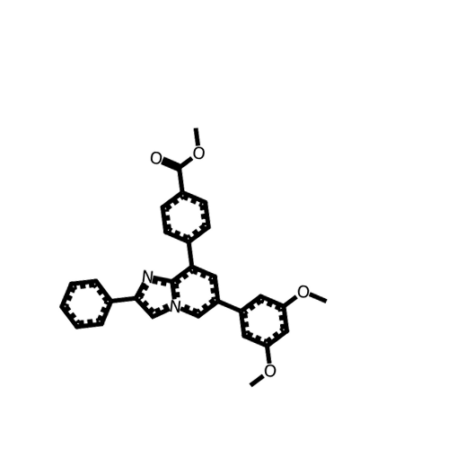 COC(=O)c1ccc(-c2cc(-c3cc(OC)cc(OC)c3)cn3cc(-c4ccccc4)nc23)cc1